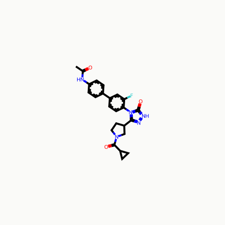 CC(=O)Nc1ccc(-c2ccc(-n3c(C4CCN(C(=O)C5CC5)C4)n[nH]c3=O)c(F)c2)cc1